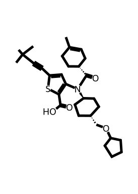 CC1=CC[C@H](C(=O)N(c2cc(C#CC(C)(C)C)sc2C(=O)O)[C@H]2CC[C@H](COC3CCCC3)CC2)CC1